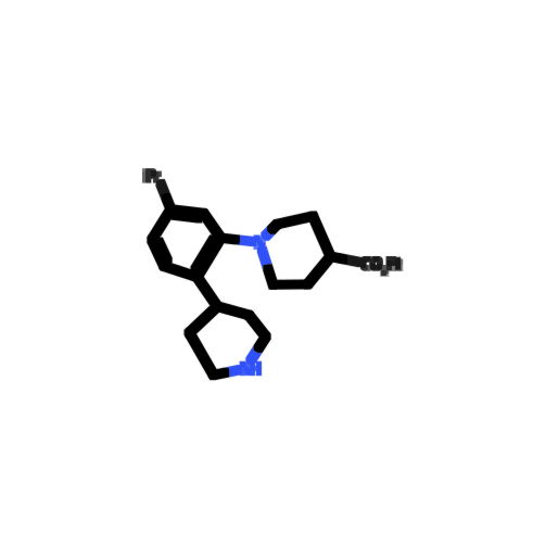 CCOC(=O)C1CCN(c2cc(C(C)C)ccc2C2CCNCC2)CC1